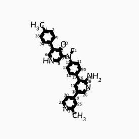 Cc1ccc(-c2c[nH]cc(N(F)c3ccc(-c4cc(-c5ccnc(C)c5)cnc4N)cc3)c2=O)cc1